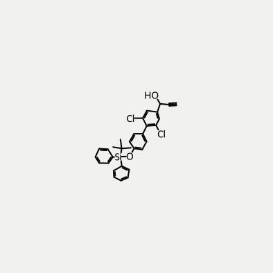 C#CC(O)c1cc(Cl)c(-c2ccc(O[Si](c3ccccc3)(c3ccccc3)C(C)(C)C)cc2)c(Cl)c1